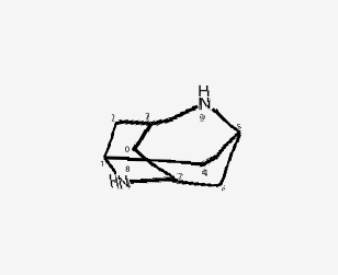 C1[C]2CC3CC(CC1N3)N2